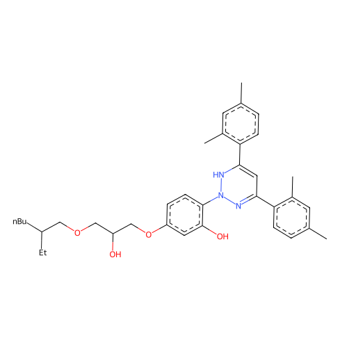 CCCCC(CC)COCC(O)COc1ccc(N2N=C(c3ccc(C)cc3C)C=C(c3ccc(C)cc3C)N2)c(O)c1